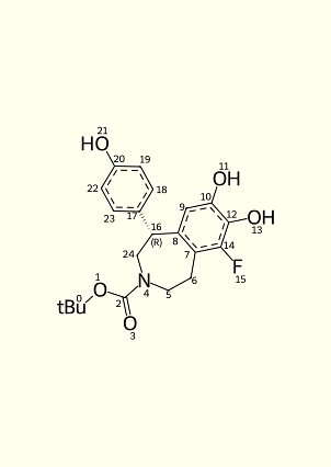 CC(C)(C)OC(=O)N1CCc2c(cc(O)c(O)c2F)[C@@H](c2ccc(O)cc2)C1